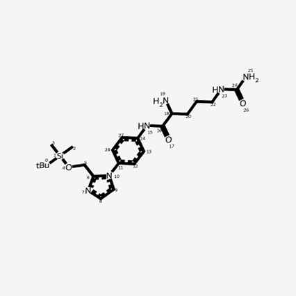 CC(C)(C)[Si](C)(C)OCc1nccn1-c1ccc(NC(=O)C(N)CCCNC(N)=O)cc1